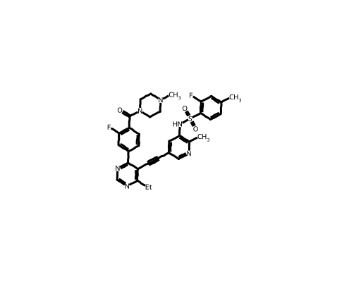 CCc1ncnc(-c2ccc(C(=O)N3CCN(C)CC3)c(F)c2)c1C#Cc1cnc(C)c(NS(=O)(=O)c2ccc(C)cc2F)c1